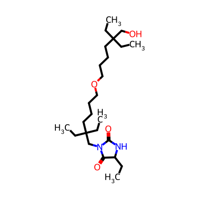 CCC1NC(=O)N(CC(CC)(CC)CCCCOCCCCC(CC)(CC)CO)C1=O